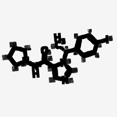 C[C@H](c1ccc(I)cc1)n1cncc1C(=O)NN1CCCC1